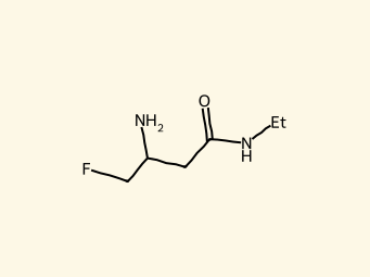 CCNC(=O)CC(N)CF